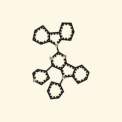 c1ccc(-n2c3ccccc3c3nc(-n4c5ccccc5c5ccccc54)nc(-c4ccncc4)c32)cc1